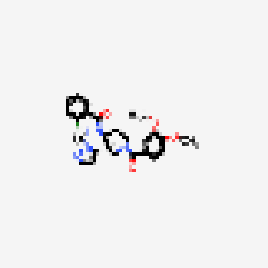 COc1ccc(C(=O)N2CC[C@H](NC(=O)c3ccccc3Cl)[C@@H](c3ccnn3C)C2)cc1OC